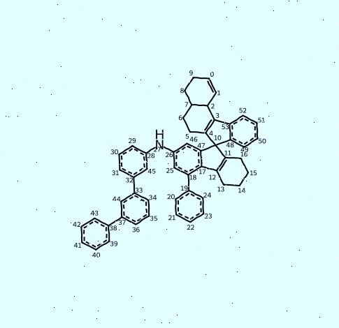 C1=CC2C3=C(CCC2CC1)C1(C2=C(CCCC2)c2c(-c4ccccc4)cc(Nc4cccc(-c5cccc(-c6ccccc6)c5)c4)cc21)c1ccccc13